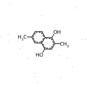 Cc1ccc2c(O)c(C)cc(O)c2c1